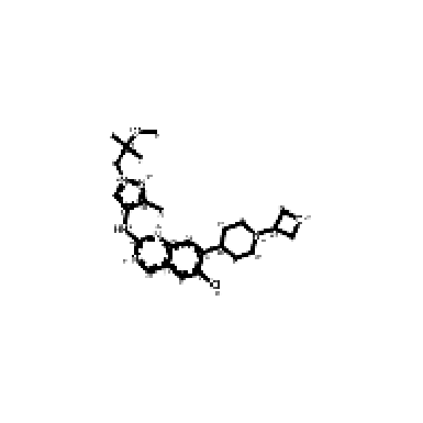 COC(C)(C)Cn1cc(Nc2ncc3cc(Cl)c(C4CCN(C5COC5)CC4)cc3n2)c(C)n1